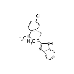 CN(C)c1ccc(Cl)cc1CSc1nc2ccccc2[nH]1